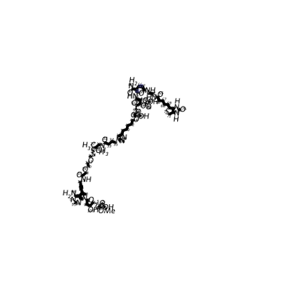 COP(=O)(O)OC[C@H]1O[C@@H](n2cc(C#CCNC(=O)COCCOCSSC(C)(C)CNC(=O)CCCn3cc(CCCCCOP(=O)(O)OC[C@H]4O[C@@H](N/C=C(/C=C\C(=O)NCCNC(=O)CCCCC5SCC6NC(=O)NC65)C(N)=O)CC4OP(=O)(O)O)nn3)c3c(N)ncnc32)CC1O